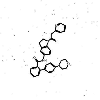 O=C(Nc1ccc2c(c1)CCN2C(=O)Cc1ccccn1)c1ccccc1-c1ccc(N2CCOCC2)cc1